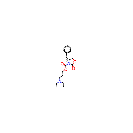 CCN(CC)CCCOC(=O)N1C(=O)OC[C@@H]1Cc1ccccc1